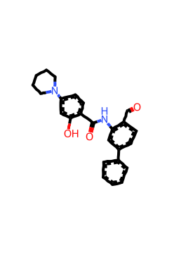 O=Cc1ccc(-c2ccccc2)cc1NC(=O)c1ccc(N2CCCCC2)cc1O